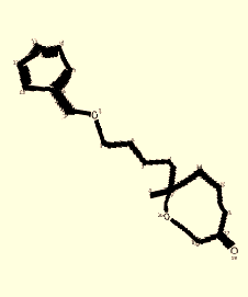 CC1(CCCCOCc2ccccc2)CCCC(=O)CO1